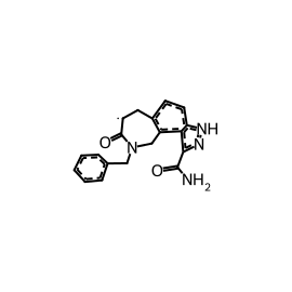 NC(=O)c1n[nH]c2ccc3c(c12)CN(Cc1ccccc1)C(=O)[CH]C3